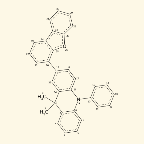 CC1(C)c2ccccc2N(c2ccccc2)c2ccc(-c3cccc4c3oc3ccccc34)cc21